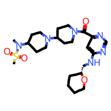 CN(C1CCN(C2CCN(C(=O)c3cc(NC[C@H]4CCCCO4)ncn3)CC2)CC1)S(C)(=O)=O